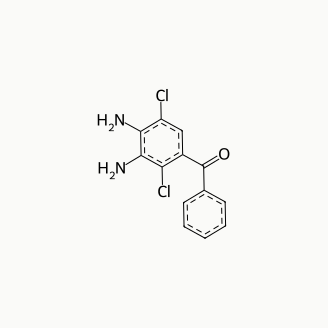 Nc1c(Cl)cc(C(=O)c2ccccc2)c(Cl)c1N